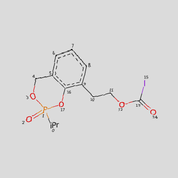 CC(C)P1(=O)OCc2cccc(CCOC(=O)I)c2O1